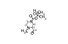 CN1CCN(C(=O)OC(C)(C)C)CC1C=O